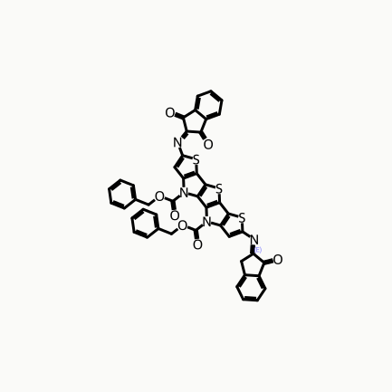 O=C1/C(=N/c2cc3c(s2)c2sc4c5sc(N=c6c(=O)c7ccccc7c6=O)cc5n(C(=O)OCc5ccccc5)c4c2n3C(=O)OCc2ccccc2)Cc2ccccc21